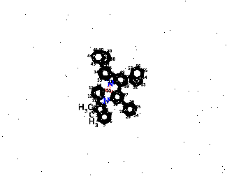 CC1(C)c2ccccc2-c2c1c1cccc3c1n2-c1cc(-c2ccccc2)cc2c1B3n1c3ccc(C45CCCC(CCC4)C5)cc3c3cc(C45CCCC(CCC4)C5)cc-2c31